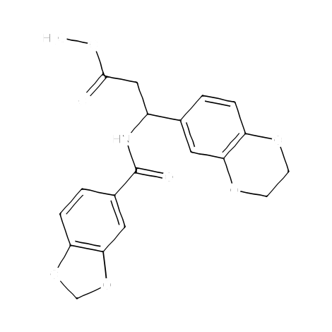 COC(=O)CC(NC(=O)c1ccc2c(c1)OCO2)c1ccc2c(c1)OCCO2